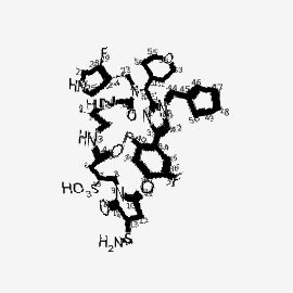 C[C@@H](CNC(=O)C[C@H](CN1C(=O)CC(SN)C1=O)S(=O)(=O)O)NC(=O)N(C[C@@H]1CNC[C@@H]1F)[C@@H](c1nc(-c2cc(F)ccc2F)cn1Cc1ccccc1)C1CCOCC1